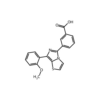 COc1ccccc1-c1nc(-c2cccc(C(=O)O)c2)n2ccsc12